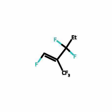 CCC(F)(F)C(=CF)C(F)(F)F